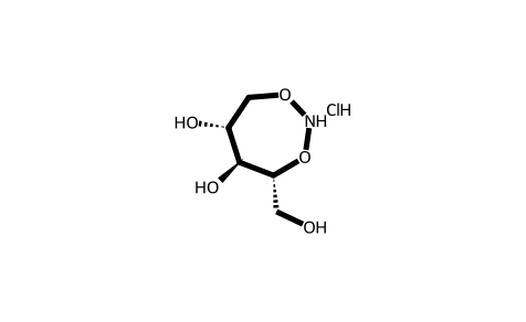 Cl.OC[C@H]1ONOC[C@@H](O)[C@@H]1O